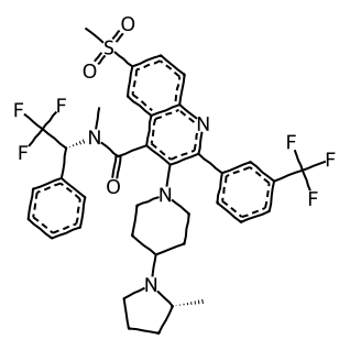 C[C@@H]1CCCN1C1CCN(c2c(-c3cccc(C(F)(F)F)c3)nc3ccc(S(C)(=O)=O)cc3c2C(=O)N(C)[C@H](c2ccccc2)C(F)(F)F)CC1